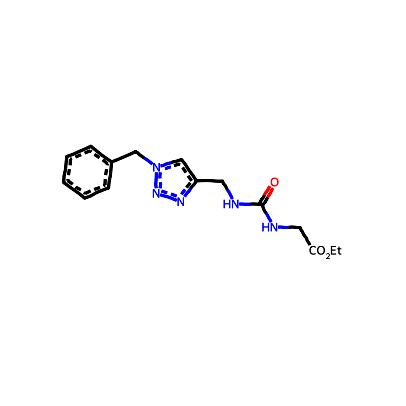 CCOC(=O)CNC(=O)NCc1cn(Cc2ccccc2)nn1